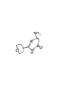 Nc1cc(=O)[nH]c(N2CCOCC2)n1